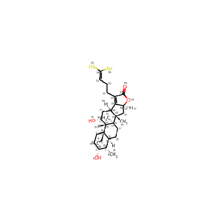 CC[C@]12CC[C@@H](O)[C@@H](C)[C@@H]1CC[C@@]1(C)[C@H]2[C@H](O)C[C@H]2C3=C(CCC=C(S)S)C(=O)O[C@H]3C[C@@]21C